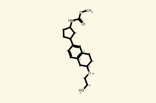 COC(=O)NC1CCC(c2ccc3c(c2)CCC(OCCO)C3)C1